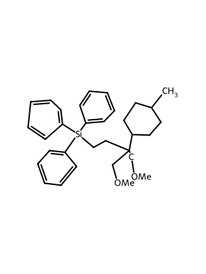 COCC(CC[Si](c1ccccc1)(c1ccccc1)c1ccccc1)(COC)C1CCC(C)CC1